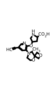 C#Cc1cnc(OC2CNC(C(=O)O)C2)c(N2CCOC3(COC3)[C@@H]2C)c1